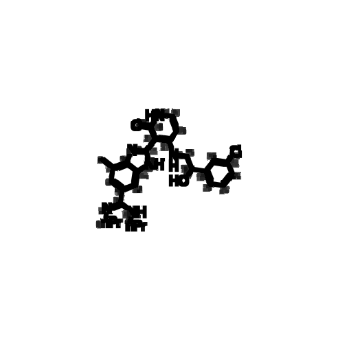 CCC/N=C(\NCCC)c1cc(C)c2nc(-c3c(NCC(O)c4cccc(Cl)c4)cc[nH]c3=O)[nH]c2c1